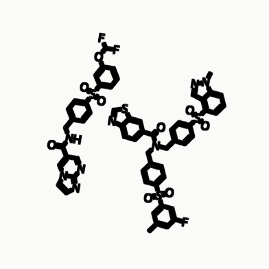 Cc1cc(F)cc(S(=O)(=O)c2ccc(CN(Cc3ccc(S(=O)(=O)c4cccc5c4cnn5C)cc3)C(=O)c3ccc4ncsc4c3)cc2)c1.O=C(NCc1ccc(S(=O)(=O)c2cccc(OC(F)F)c2)cc1)c1cnc2nccn2c1